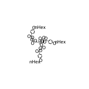 CCCCCCOc1ccc(C(=O)OOC(=O)OCC(CC)(COC(=O)OOC(=O)c2ccc(OCCCCCC)cc2)COC(=O)OOC(=O)c2ccc(OCCCCCC)cc2)cc1